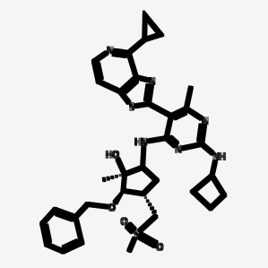 Cc1nc(NC2CCC2)nc(NC2C[C@H](CS(C)(=O)=O)[C@@H](OCc3ccccc3)[C@@]2(C)O)c1-c1nc2c(C3CC3)nccc2s1